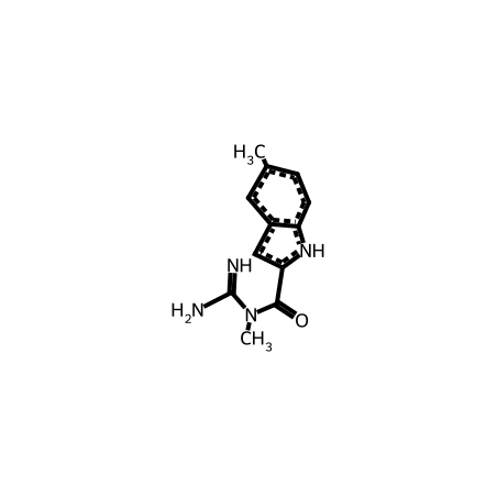 Cc1ccc2[nH]c(C(=O)N(C)C(=N)N)cc2c1